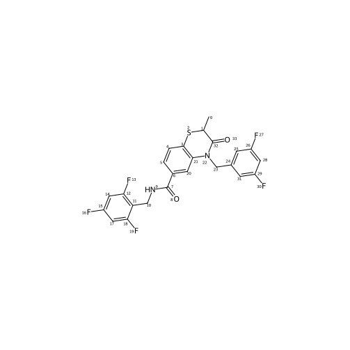 CC1Sc2ccc(C(=O)NCc3c(F)cc(F)cc3F)cc2N(Cc2cc(F)cc(F)c2)C1=O